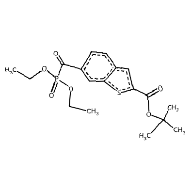 CCOP(=O)(OCC)C(=O)c1ccc2cc(C(=O)OC(C)(C)C)sc2c1